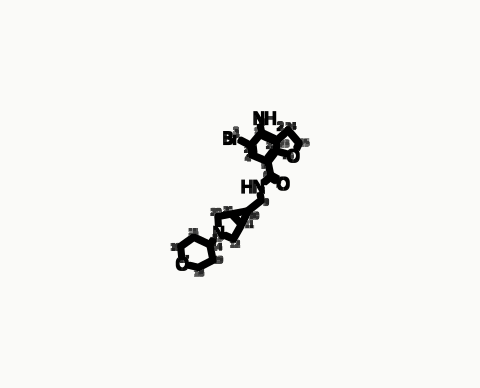 Nc1c(Br)cc(C(=O)NCC2C3CN(C4CCOCC4)CC23)c2c1CCO2